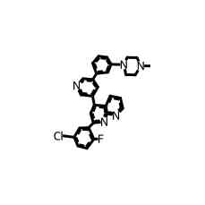 CN1CCN(c2cccc(-c3cncc(-c4cc(-c5cc(Cl)ccc5F)nc5ncccc45)c3)c2)CC1